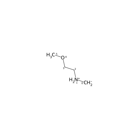 [CH2-][NH2+]CCOC